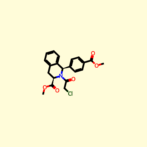 COC(=O)c1ccc([C@@H]2c3ccccc3C[C@H](C(=O)OC)N2C(=O)CCl)cc1